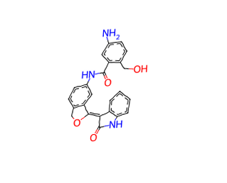 Nc1ccc(CO)c(C(=O)Nc2ccc3c(c2)/C(=C2/C(=O)Nc4ccccc42)OC3)c1